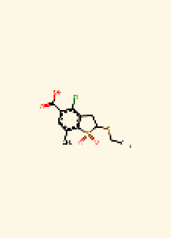 CCSC1Cc2c(Cl)c(C(=O)O)cc(C)c2S1(=O)=O